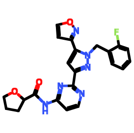 O=C(Nc1ccnc(-c2cc(-c3ccon3)n(Cc3ccccc3F)n2)n1)C1CCCO1